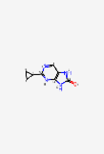 O=c1[nH]c2cnc(C3CC3)nc2[nH]1